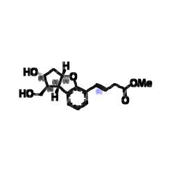 COC(=O)C/C=C/c1cccc2c1O[C@H]1C[C@@H](O)[C@H](CO)[C@@H]21